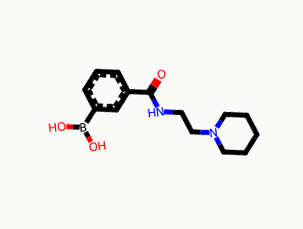 O=C(NCCN1CCCCC1)c1cccc(B(O)O)c1